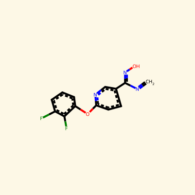 C=N/C(=N\O)c1ccc(Oc2cccc(F)c2F)nc1